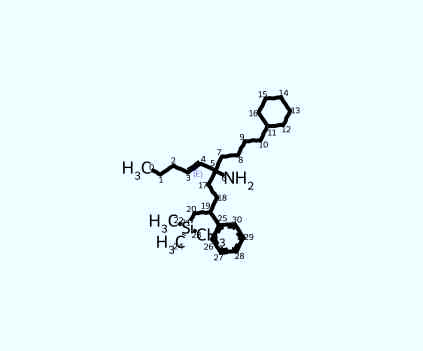 CCC/C=C/C(N)(CCCCC1CCCCC1)CCC(C[Si](C)(C)C)c1ccccc1